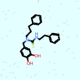 Oc1ccc(CN(CCCc2ccccc2)C(=S)NCCc2ccccc2)cc1O